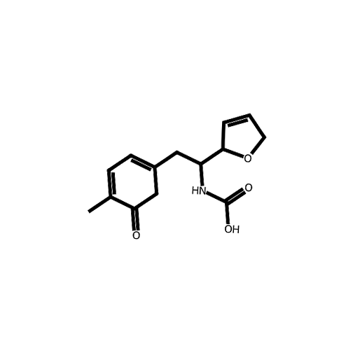 CC1=CC=C(CC(NC(=O)O)C2C=CCO2)CC1=O